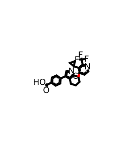 O=C(O)c1ccc(-c2cn(C3(c4c(Cl)ccnc4C(F)(F)F)CC3)c3c2CCCC3)cc1